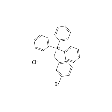 Brc1cccc(C[P+](c2ccccc2)(c2ccccc2)c2ccccc2)c1.[Cl-]